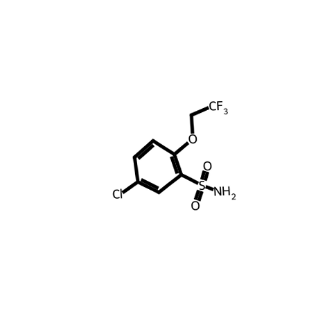 NS(=O)(=O)c1cc(Cl)ccc1OCC(F)(F)F